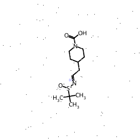 CC(C)(C)[S+]([O-])/N=C/CC1CCN(C(=O)O)CC1